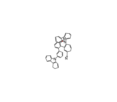 N#CC1=CC(c2c(C#N)cccc2-c2cccc(-n3c4c(c5ccccc53)CCC=C4)c2)=C(n2c3ccccc3c3ccccc32)C=CC1